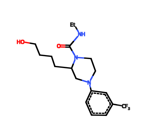 CCNC(=O)N1CCN(c2cccc(C(F)(F)F)c2)CC1CCCCO